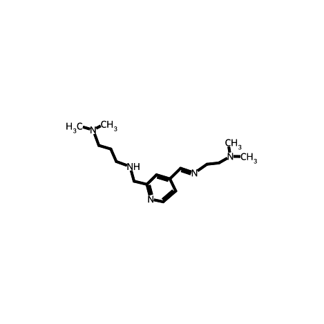 CN(C)CCCNCc1cc(C=NCCN(C)C)ccn1